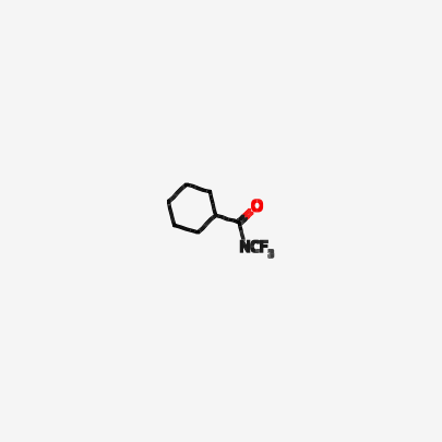 O=C(NC(F)(F)F)C1CCCCC1